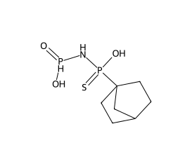 O=[PH](O)NP(O)(=S)C12CCC(CC1)C2